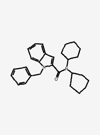 O=C(c1cc2ccccc2n1Cc1ccccc1)N(C1CCCCC1)C1CCCCC1